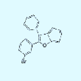 Brc1cccc(-c2oc3ccccc3c2-c2ccccc2)c1